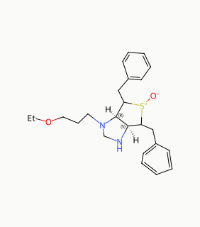 CCOCCCN1CN[C@@H]2C(Cc3ccccc3)[S+]([O-])C(Cc3ccccc3)[C@@H]21